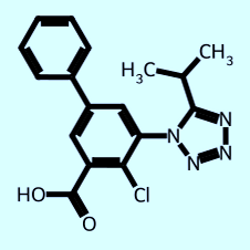 CC(C)c1nnnn1-c1cc(-c2ccccc2)cc(C(=O)O)c1Cl